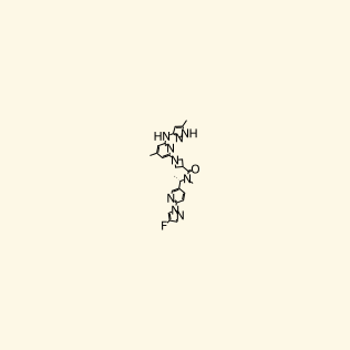 Cc1cc(Nc2cc(C)[nH]n2)nc(N2CC(C(=O)N(C)[C@@H](C)c3ccc(-n4cc(F)cn4)nc3)C2)c1